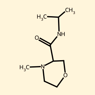 CC(C)NC(=O)C1COCCN1C